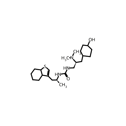 C[C@@H](CC1=CSC2CCCCC12)NC(=O)NC[C@H](CC1CCC(O)CC1)N(C)C